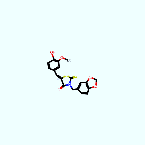 CCOc1cc(/C=C2\SC(=S)N(Cc3ccc4c(c3)OCO4)C2=O)ccc1O